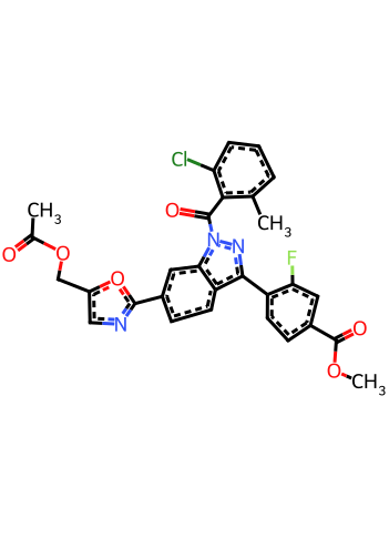 COC(=O)c1ccc(-c2nn(C(=O)c3c(C)cccc3Cl)c3cc(-c4ncc(COC(C)=O)o4)ccc23)c(F)c1